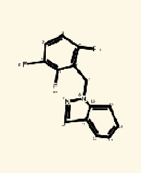 Fc1ccc(F)c(Cn2ncc3ccccc32)c1F